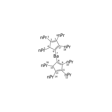 CCCC1=C(CCC)C(CCC)[C]([Ba][C]2=C(CCC)C(CCC)=C(CCC)C2CCC)=C1CCC